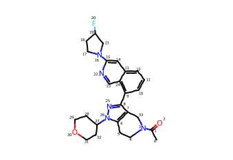 CC(=O)N1CCc2c(c(-c3cccc4cc(N5CCC(F)C5)ncc34)nn2C2CCOCC2)C1